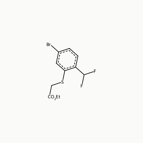 CCOC(=O)CSc1cc(Br)ccc1C(F)F